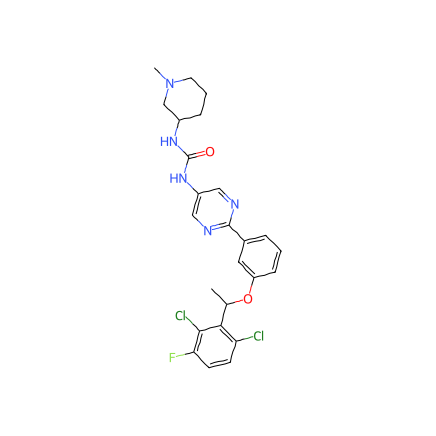 CC(Oc1cccc(-c2ncc(NC(=O)NC3CCCN(C)C3)cn2)c1)c1c(Cl)ccc(F)c1Cl